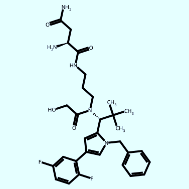 CC(C)(C)[C@H](c1cc(-c2cc(F)ccc2F)cn1Cc1ccccc1)N(CCCNC(=O)[C@@H](N)CC(N)=O)C(=O)CO